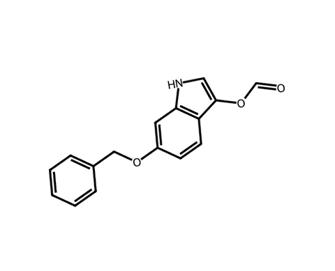 O=COc1c[nH]c2cc(OCc3ccccc3)ccc12